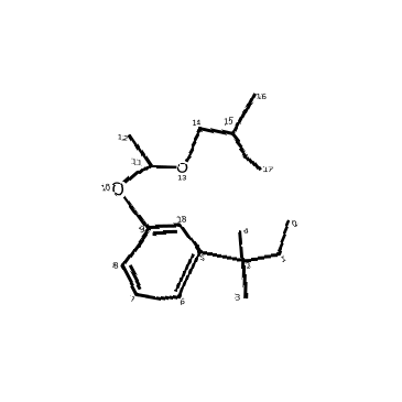 CCC(C)(C)c1cccc(OC(C)OCC(C)C)c1